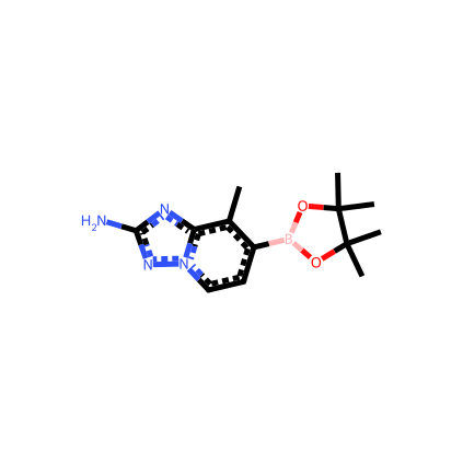 Cc1c(B2OC(C)(C)C(C)(C)O2)ccn2nc(N)nc12